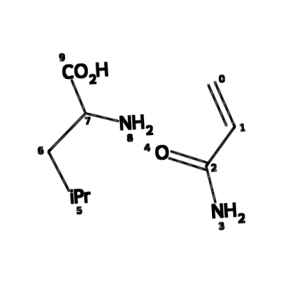 C=CC(N)=O.CC(C)CC(N)C(=O)O